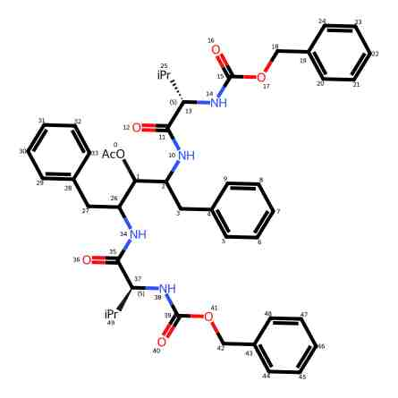 CC(=O)OC(C(Cc1ccccc1)NC(=O)[C@@H](NC(=O)OCc1ccccc1)C(C)C)C(Cc1ccccc1)NC(=O)[C@@H](NC(=O)OCc1ccccc1)C(C)C